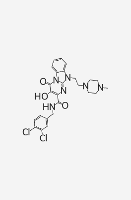 CN1CCN(CCn2c3ccccc3n3c(=O)c(O)c(C(=O)NCc4ccc(Cl)c(Cl)c4)nc23)CC1